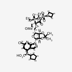 CCOP(=O)(OCC)[C@](COC)(OC[C@H]1O[C@@H](n2ncc3c(N(C(=O)O)C4CCCC4)cc(Cl)nc32)[C@@H]2OC(C)(C)O[C@@H]21)C(=O)NS(=O)(=O)N1CCC1